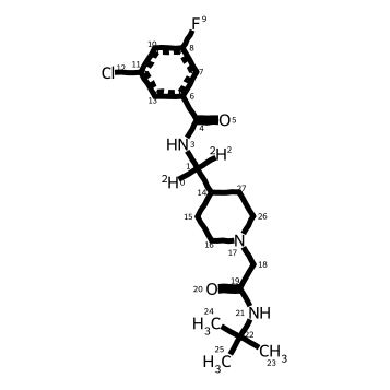 [2H]C([2H])(NC(=O)c1cc(F)cc(Cl)c1)C1CCN(CC(=O)NC(C)(C)C)CC1